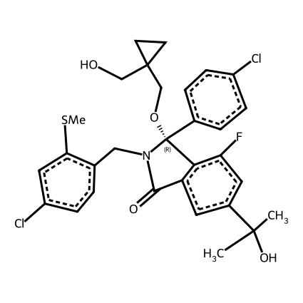 CSc1cc(Cl)ccc1CN1C(=O)c2cc(C(C)(C)O)cc(F)c2[C@]1(OCC1(CO)CC1)c1ccc(Cl)cc1